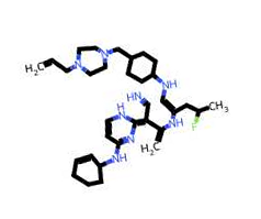 C=CCN1CCN(CC2CCC(N/C=C(\CC(C)F)NC(=C)/C(C=N)=C3\N=C(NC4C=CCCC4)C=CN3)CC2)CC1